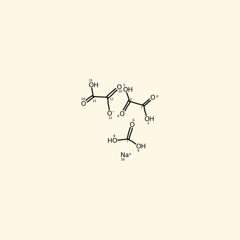 O=C(O)C(=O)O.O=C(O)O.O=C([O-])C(=O)O.[Na+]